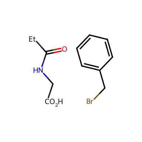 BrCc1ccccc1.CCC(=O)NCC(=O)O